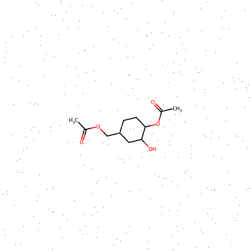 CC(=O)OCC1CCC(OC(C)=O)C(O)C1